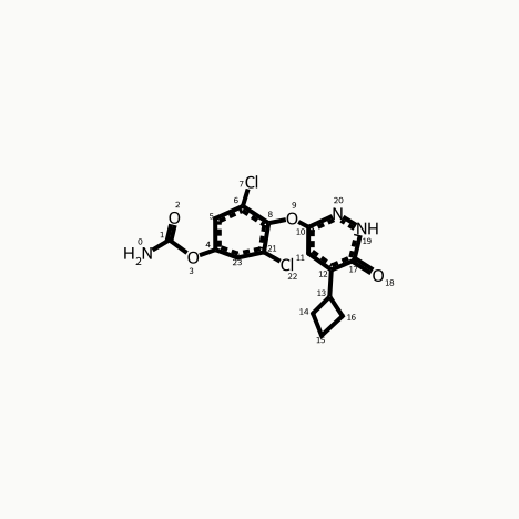 NC(=O)Oc1cc(Cl)c(Oc2cc(C3CCC3)c(=O)[nH]n2)c(Cl)c1